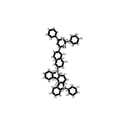 c1ccc(-c2cc(-c3ccc4cc(-n5c6ccccc6c6c7c8ccccc8n(-c8ccccc8)c7ccc65)ccc4c3)nc(-c3ccccc3)n2)cc1